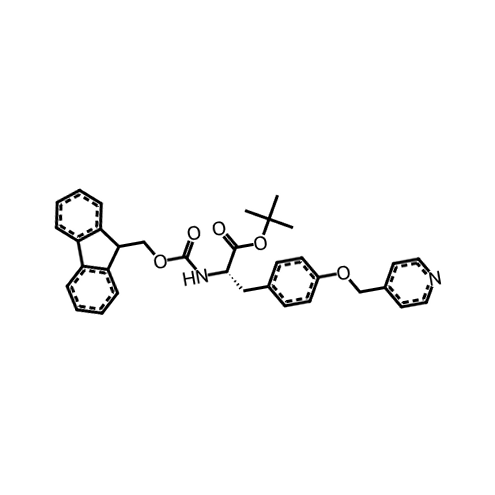 CC(C)(C)OC(=O)[C@H](Cc1ccc(OCc2ccncc2)cc1)NC(=O)OCC1c2ccccc2-c2ccccc21